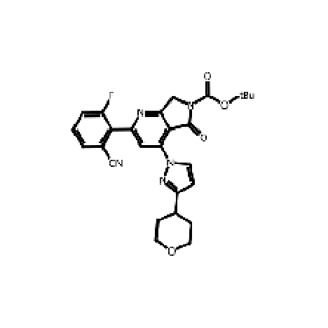 CC(C)(C)OC(=O)N1Cc2nc(-c3c(F)cccc3C#N)cc(-n3ccc(C4CCOCC4)n3)c2C1=O